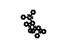 c1ccc(-c2cc(-c3ccc(-n4c5ccccc5c5c4ccc4c6ccccc6n(-c6ccccc6)c45)c4c3c3ccccc3n4-c3ccccc3)nc(-c3ccccc3)n2)cc1